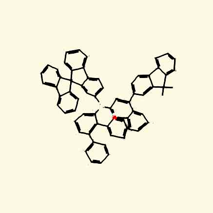 CC1(C)c2ccccc2-c2ccc(-c3cc(N(c4ccc5c(c4)C4(c6ccccc6-c6ccccc64)c4ccccc4-5)c4cccc(-c5ccccc5)c4-c4ccccc4)nc4ccccc34)cc21